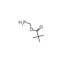 CC(C)(C)C(=O)OCP